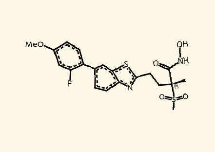 COc1ccc(-c2ccc3nc(CC[C@](C)(C(=O)NO)S(C)(=O)=O)sc3c2)c(F)c1